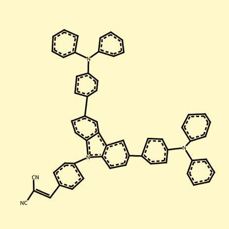 N#CC(C#N)=Cc1ccc(-n2c3ccc(-c4ccc(N(c5ccccc5)c5ccccc5)cc4)cc3c3cc(-c4ccc(N(c5ccccc5)c5ccccc5)cc4)ccc32)cc1